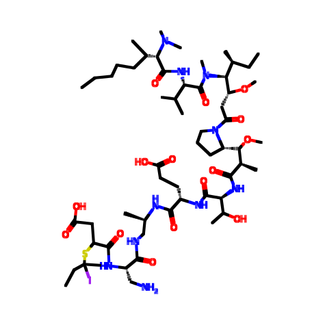 CCCCCC(C)[C@@H](C(=O)N[C@H](C(=O)N(C)[C@@H]([C@@H](C)CC)[C@@H](CC(=O)N1CCC[C@H]1C(OC)[C@@H](C)C(=O)N[C@H](C(=O)N[C@@H](CCC(=O)O)C(=O)N[C@H](C)CNC(=O)[C@H](CN)NC(=O)C(CC(=O)O)SC(C)(I)CC)C(C)O)OC)C(C)C)N(C)C